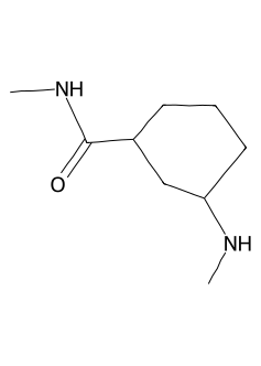 CNC(=O)C1CCCC(NC)C1